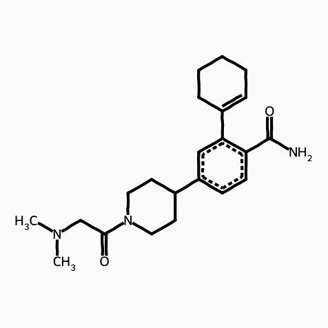 CN(C)CC(=O)N1CCC(c2ccc(C(N)=O)c(C3=CCCCC3)c2)CC1